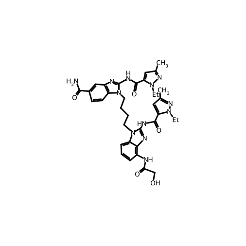 CCn1nc(C)cc1C(=O)Nc1nc2cc(C(N)=O)ccc2n1CCCCn1c(NC(=O)c2cc(C)nn2CC)nc2c(NC(=O)CO)cccc21